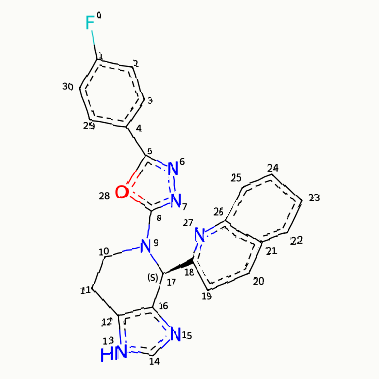 Fc1ccc(-c2nnc(N3CCc4[nH]cnc4[C@@H]3c3ccc4ccccc4n3)o2)cc1